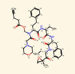 C#CCCC(=O)OCN(C(=O)CN1CCOCC1)[C@@H](CCc1ccccc1)C(=O)N[C@@H](CC(C)C)C(=O)N[C@@H](Cc1ccccc1)C(=O)N[C@@H](CC(C)C)C(=O)[C@]1(C)CO1